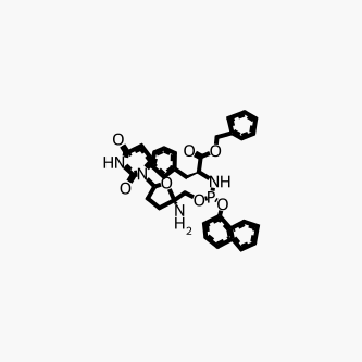 N[C@@]1(COP(N[C@@H](Cc2ccccc2)C(=O)OCc2ccccc2)Oc2cccc3ccccc23)CCC(n2ccc(=O)[nH]c2=O)O1